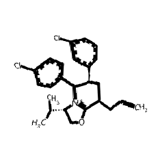 C=CCC1C[C@H](c2cccc(Cl)c2)C(c2ccc(Cl)cc2)[N+]2=C1OC[C@@H]2C(C)C